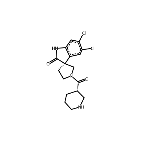 O=C([C@H]1CCCNC1)N1CC[C@]2(C1)C(=O)Nc1cc(Cl)c(Cl)cc12